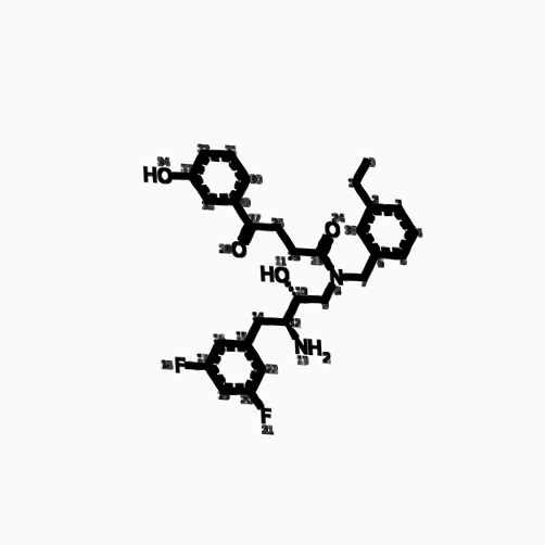 CCc1cccc(CN(C[C@@H](O)[C@@H](N)Cc2cc(F)cc(F)c2)C(=O)CCC(=O)c2cccc(O)c2)c1